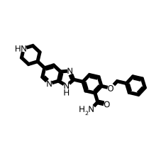 NC(=O)c1cc(-c2nc3cc(C4CCNCC4)cnc3[nH]2)ccc1OCc1ccccc1